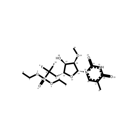 CCOP(=O)(OCC)C(F)(F)C[C@H]1O[C@@H](n2cc(C)c(=O)[nH]c2=O)[C@H](OC)[C@@H]1O